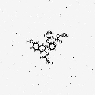 CC(C)(C)OC(=O)Oc1cccc([C@H]2Cc3cc(O)ccc3C[C@@H]2OC(=O)OC(C)(C)C)c1OC(=O)OC(C)(C)C